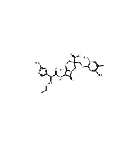 CCON=C(C(=O)NC1C(=O)N2CC(CSc3nc(N)c(C)c[n+]3N)(C(=O)[O-])CS[C@H]12)c1csc(N)n1